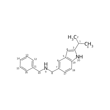 CC(C)c1cc2cc(CNCc3ccccc3)ccc2[nH]1